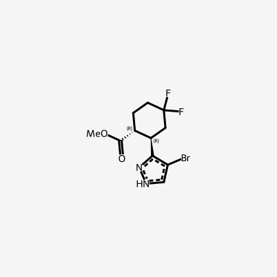 COC(=O)[C@@H]1CCC(F)(F)C[C@H]1c1n[nH]cc1Br